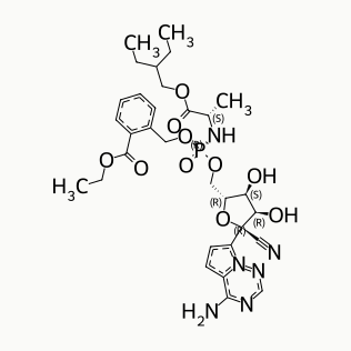 CCOC(=O)c1ccccc1CO[P@](=O)(N[C@@H](C)C(=O)OCC(CC)CC)OC[C@H]1O[C@@](C#N)(c2ccc3c(N)ncnn23)[C@H](O)[C@@H]1O